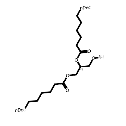 [2H]OC[C@@H](COC(=O)CCCCCCCCCCCCCCC)OC(=O)CCCCCCCCCCCCCCC